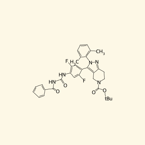 Cc1cccc(C)c1-n1nc2c(c1-c1cc(F)c(NC(=O)NC(=O)c3ccccc3)cc1F)CN(C(=O)OC(C)(C)C)CC2